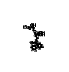 CC(C)(C)OC(O)CCOCC(CO)(CO)CCCO[Si](c1ccccc1)(c1ccccc1)C(C)(C)C